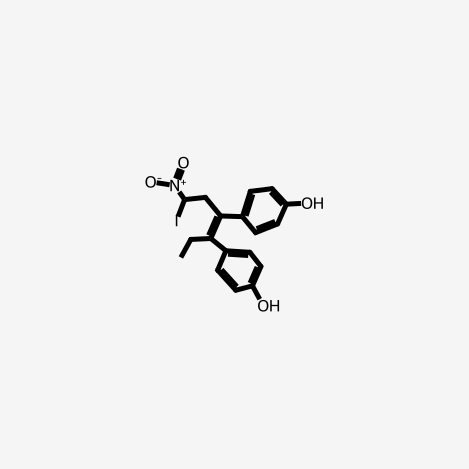 CCC(=C(CC(I)[N+](=O)[O-])c1ccc(O)cc1)c1ccc(O)cc1